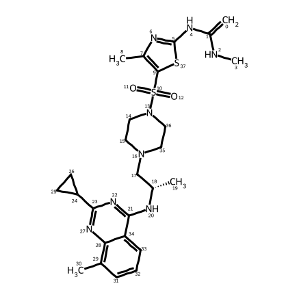 C=C(NC)Nc1nc(C)c(S(=O)(=O)N2CCN(C[C@H](C)Nc3nc(C4CC4)nc4c(C)cccc34)CC2)s1